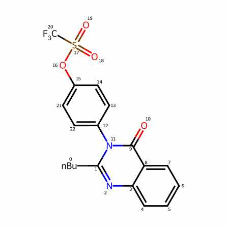 CCCCc1nc2ccccc2c(=O)n1-c1ccc(OS(=O)(=O)C(F)(F)F)cc1